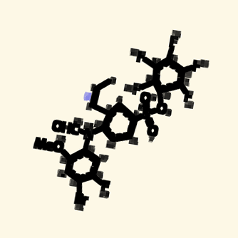 C/C=C\c1cc(S(=O)(=O)Oc2c(F)c(F)c(F)c(F)c2F)ccc1N(C=O)c1cc(F)c(Br)cc1OC